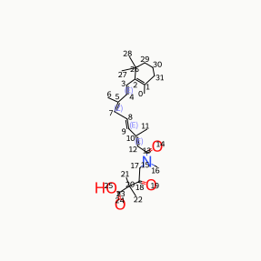 CC1=C(/C=C/C(C)=C\C=C\C(C)=C\C(=O)N(C)CC(=O)C(C)(C)C(=O)O)C(C)(C)CCC1